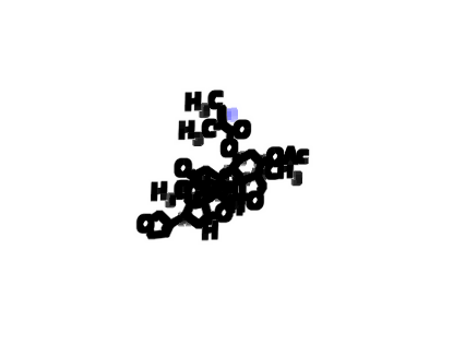 C/C=C(\C)C(=O)O[C@H]1C[C@@H](OC(C)=O)[C@@]2(C)CO[C@H]3[C@H]4O[C@@H]5C[C@@H](C6=CCOC6)C(C)=C5[C@@]4(C)[C@@H](CC(=O)OC)[C@]1(C)[C@@H]32